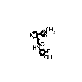 Cn1cc(-c2ccncc2C=CC(=O)Nc2ccc(O)c(F)c2)cn1